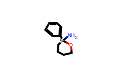 N[Si]1(c2ccccc2)CCCCO1